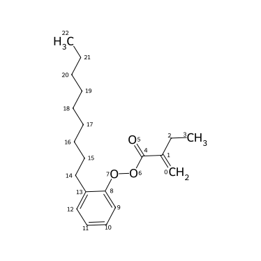 C=C(CC)C(=O)OOc1ccccc1CCCCCCCCC